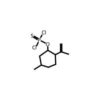 C=C(C)C1CCC(C)CC1OP(=S)(Cl)Cl